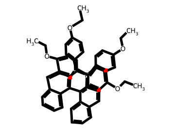 CCOc1ccc(P(c2ccc(OCC)cc2)c2ccc3ccccc3c2-c2c(P(c3ccc(OCC)cc3)c3ccc(OCC)cc3)ccc3ccccc23)cc1